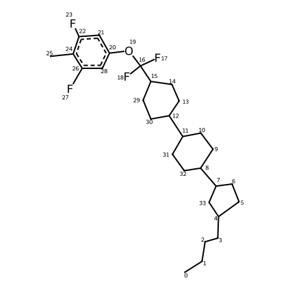 CCCCC1CCC(C2CCC(C3CCC(C(F)(F)Oc4cc(F)c(C)c(F)c4)CC3)CC2)C1